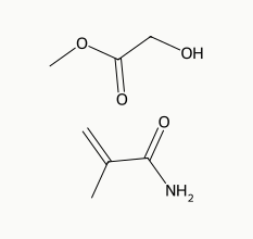 C=C(C)C(N)=O.COC(=O)CO